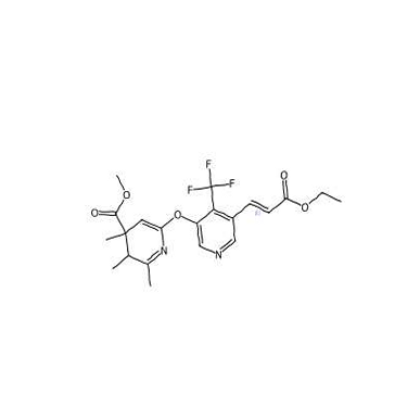 CCOC(=O)/C=C/c1cncc(OC2=CC(C)(C(=O)OC)C(C)C(C)=N2)c1C(F)(F)F